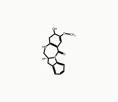 COC1=CC2=C(CC1O)NC[C@@H]1Cc3ccccc3N1C2=O